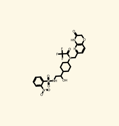 O=C1COc2ccc(CN(C(=O)C(F)(F)F)C3CCC(C(O)CNS(=O)(=O)c4ccccc4[N+](=O)[O-])CC3)nc2N1